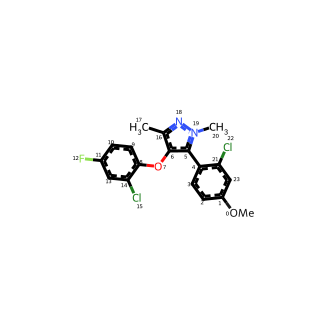 COc1ccc(-c2c(Oc3ccc(F)cc3Cl)c(C)nn2C)c(Cl)c1